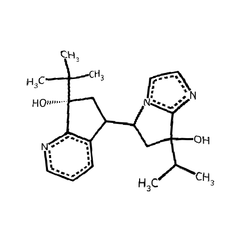 CC(C)C1(O)CC(C2C[C@](O)(C(C)(C)C)c3ncccc32)n2ccnc21